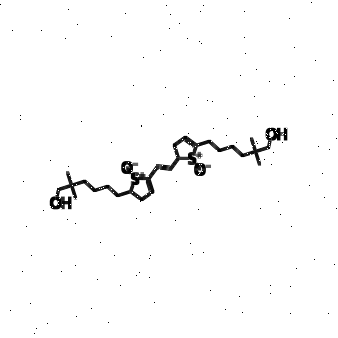 CC(C)(CO)CCCCC1=CCC(C=CC2=CCC(CCCCC(C)(C)CO)[S+]2[O-])[S+]1[O-]